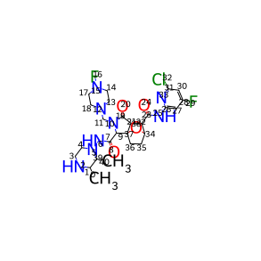 CC1NCCN(NC(=O)C2N(CN3CCN(F)CC3)C(=O)C3C(C(=O)Nc4cc(F)cc(Cl)n4)C4CCC32O4)C1C